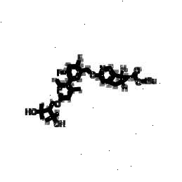 Cc1cc(OCC(C(C)(C)O)C(C)(C)O)cc(C)c1-c1cc(COc2cc3c(cn2)[C@H]2[C@@H](C3)[C@@H]2C(=O)OC(C)(C)C)c(F)cc1F